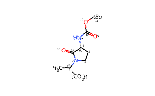 C[C@@H](C(=O)O)N1CC[C@@H](NC(=O)OC(C)(C)C)C1=O